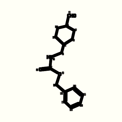 O=CC1CCC(CNC(=O)OCc2ccccc2)CC1